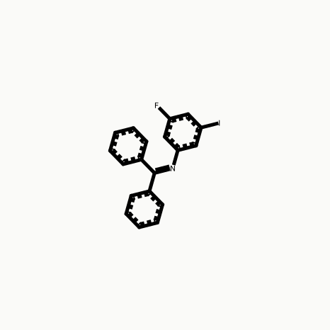 Fc1cc(I)cc(N=C(c2ccccc2)c2ccccc2)c1